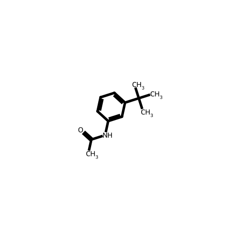 CC(=O)Nc1cccc(C(C)(C)C)c1